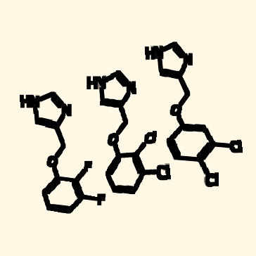 Clc1ccc(OCc2c[nH]cn2)cc1Cl.Clc1cccc(OCc2c[nH]cn2)c1Cl.Fc1cccc(OCc2c[nH]cn2)c1F